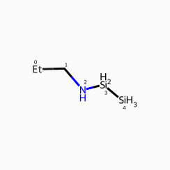 CCCN[SiH2][SiH3]